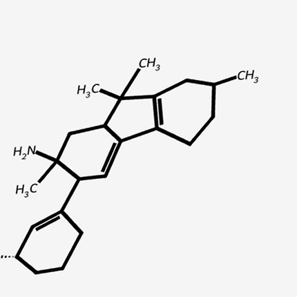 CC1CCC2=C(C1)C(C)(C)C1CC(C)(N)C(C3=C[C@@H](C)CCC3)C=C21